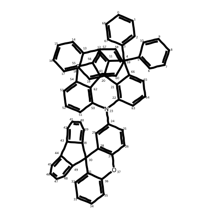 c1ccc(C2(c3ccccc3)c3cc4ccccc4cc3-c3c(N(c4ccc5c(c4)C4(c6ccccc6O5)c5ccccc5-c5ccccc54)c4cccc5sc6ccccc6c45)cccc32)cc1